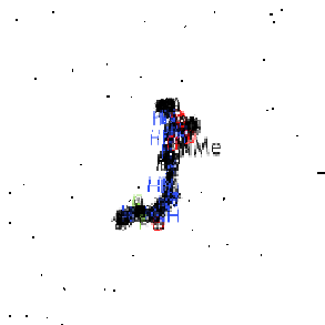 CN[C@@H](C)C(=O)N[C@H](C(=O)N1CC(NC(=O)CN2C[C@H]3CN(CCCNc4cc(N5CCC6(CC5)CN(c5cc(F)c(CN7CCC(C)(C)CC7)cc5F)CC(=O)N6)ncn4)C[C@H]3C2)C[C@H]1C(=O)N[C@H]1CCCc2ccccc21)C1CCCCC1